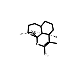 CC1=C(C(F)(F)F)O[C@@H]2O[C@]3(C)CCC4CCC[C@@H]1[C@]42OO3